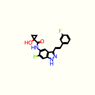 O=C(Nc1cc2c(/C=C/c3cccc(F)c3)n[nH]c2cc1F)C1(O)CC1